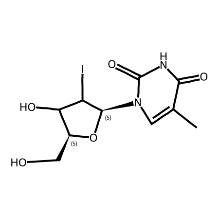 Cc1cn([C@H]2O[C@@H](CO)C(O)C2I)c(=O)[nH]c1=O